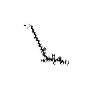 CCCCCCCCCCCCCCCCCC(=O)OCCCOP(=O)(O)OCCNC(=O)CCC(=O)C(C)C